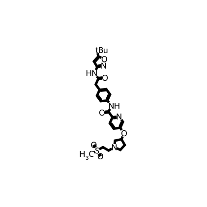 CC(C)(C)c1cc(NC(=O)Cc2ccc(NC(=O)c3ccc(OC4CCN(CCS(C)(=O)=O)C4)cn3)cc2)no1